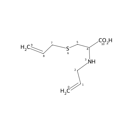 C=CCNC(CSCC=C)C(=O)O